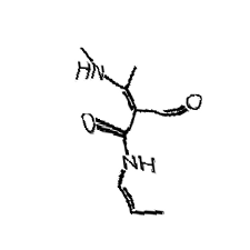 C/C=C\NC(=O)/C(C=O)=C(/C)NC